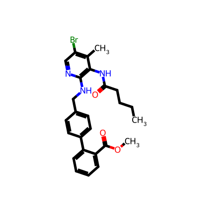 CCCCC(=O)Nc1c(NCc2ccc(-c3ccccc3C(=O)OC)cc2)ncc(Br)c1C